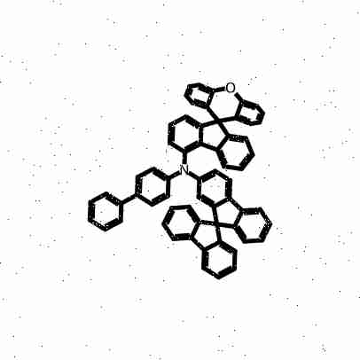 c1ccc(-c2ccc(N(c3ccc4c(c3)C3(c5ccccc5-c5ccccc53)c3ccccc3-4)c3cccc4c3-c3ccccc3C43c4ccccc4Oc4ccccc43)cc2)cc1